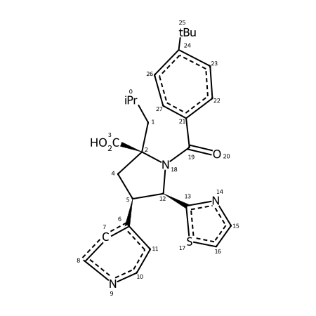 CC(C)C[C@@]1(C(=O)O)C[C@H](c2ccncc2)[C@H](c2nccs2)N1C(=O)c1ccc(C(C)(C)C)cc1